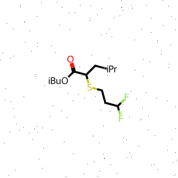 CC(C)COC(=O)C(CC(C)C)SCCC(F)F